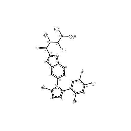 CC(C)c1cc(-c2nnc(O)n2-c2ccc3[nH]c(C(=O)N(C)C(C)N(C)C(=O)O)cc3c2)c(O)cc1O